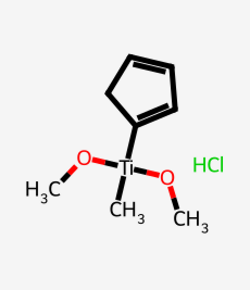 C[O][Ti]([CH3])([O]C)[C]1=CC=CC1.Cl